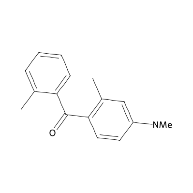 CNc1ccc(C(=O)c2ccccc2C)c(C)c1